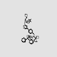 COC(=O)[C@H](Cc1ccc(-c2csc(CN(CC=O)OC(C)(C)C)c2)cc1)Nc1ccccc1C(=O)c1ccccc1